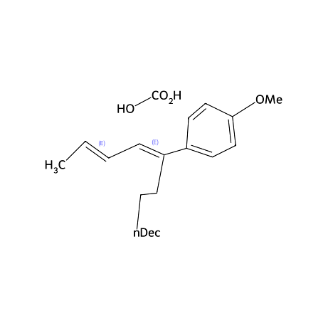 C/C=C/C=C(\CCCCCCCCCCCC)c1ccc(OC)cc1.O=C(O)O